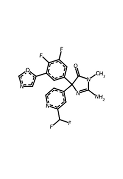 CN1C(=O)C(c2ccnc(C(F)F)c2)(c2cc(F)c(F)c(-c3cnco3)c2)N=C1N